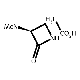 CC(=O)O.CN[C@H]1CNC1=O